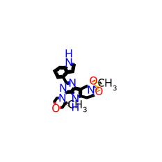 C[C@@H]1COCCN1c1nc(-c2cccc3[nH]ccc23)nc2c3c([nH]c12)CCN(S(C)(=O)=O)C3